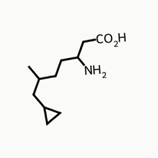 CC(CCC(N)CC(=O)O)CC1CC1